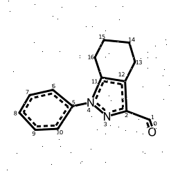 O=Cc1nn(-c2ccccc2)c2c1CCCC2